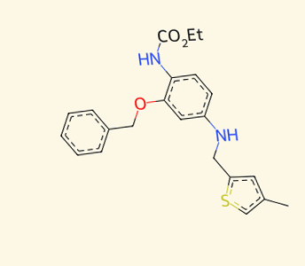 CCOC(=O)Nc1ccc(NCc2cc(C)cs2)cc1OCc1ccccc1